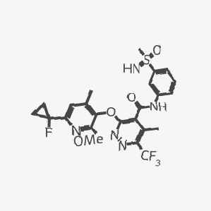 COc1nc(C2(F)CC2)cc(C)c1Oc1nnc(C(F)(F)F)c(C)c1C(=O)Nc1cccc(S(C)(=N)=O)c1